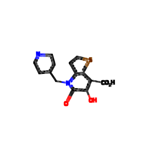 O=C(O)c1c(O)c(=O)n(Cc2ccncc2)c2ccsc12